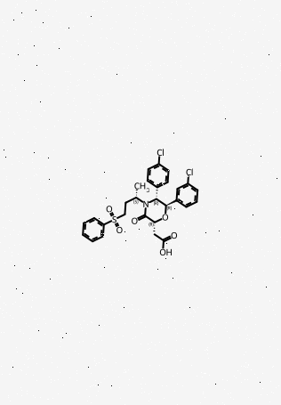 C[C@@H](CCS(=O)(=O)c1ccccc1)N1C(=O)[C@@H](CC(=O)O)O[C@H](c2cccc(Cl)c2)[C@H]1c1ccc(Cl)cc1